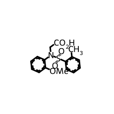 COc1ccccc1N(CC(=O)O)S(=O)(=O)c1ccccc1C